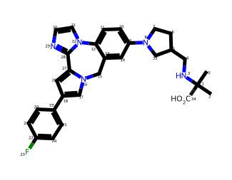 CC(C)(NCC1CCN(c2ccc3c(c2)Cn2cc(-c4ccc(F)cc4)cc2-c2nccn2-3)C1)C(=O)O